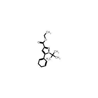 CCOC(=O)c1cc(C2=CCCC=C2)n(C(C)(C)C)n1